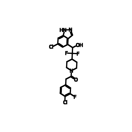 O=C(Cc1ccc(Cl)c(F)c1)N1CCC(C(F)(F)C(O)c2cc(Cl)cc3[nH]ncc23)CC1